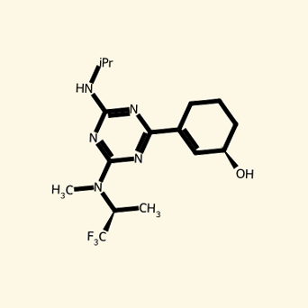 CC(C)Nc1nc(C2=C[C@H](O)CCC2)nc(N(C)[C@@H](C)C(F)(F)F)n1